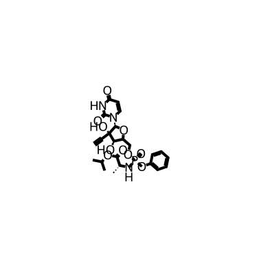 C#C[C@@]1(O)[C@H](O)C(COP(=O)(N[C@H](C)C(=O)OC(C)C)Oc2ccccc2)O[C@H]1n1ccc(=O)[nH]c1=O